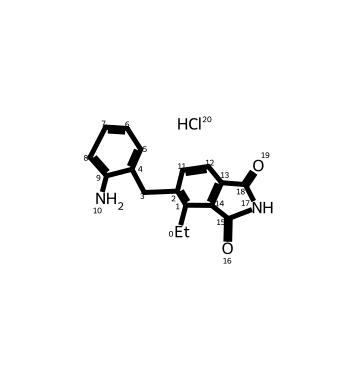 CCc1c(Cc2ccccc2N)ccc2c1C(=O)NC2=O.Cl